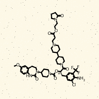 COc1ccc2c(c1)CCN(C1CCN(C(=O)O[C@H](Cc3cc(Cl)c(N)c(C(F)(F)F)c3)C(=O)N3CCC(C4CCN(CCC(=O)OCCN5CCCC5=O)CC4)CC3)CC1)C(=O)N2